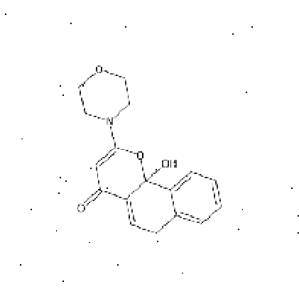 O=C1C=C(N2CCOCC2)OC2(O)C1=CCc1ccccc12